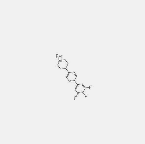 Fc1cc(-c2ccc(C3CC[SiH](F)CC3)cc2)cc(F)c1F